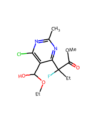 CCOC(O)c1c(Cl)nc(C)nc1C(F)(CC)C(=O)OC